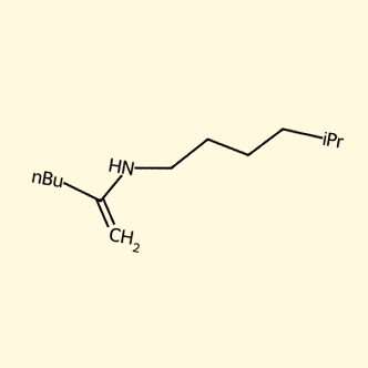 C=C(CCCC)NCCCCC(C)C